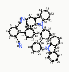 N#Cc1cccc(C#N)c1-c1ccc(-c2c(-c3ccccc3-n3c4ccccc4c4ccccc43)cccc2-n2c3ccccc3c3ccccc32)cc1